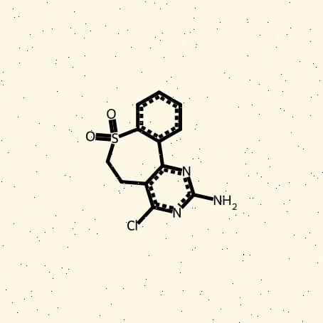 Nc1nc(Cl)c2c(n1)-c1ccccc1S(=O)(=O)CC2